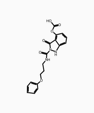 O=C(O)Oc1cccc2[nH]n(C(=O)NCCCOc3ccccc3)c(=O)c12